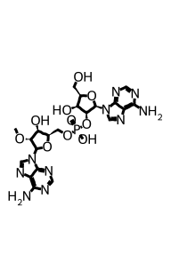 CO[C@H]1C(n2cnc3c(N)ncnc32)O[C@H](COP(=O)(O)O[C@H]2[C@@H](O)[C@@H](CO)O[C@H]2n2cnc3c(N)ncnc32)[C@@H]1O